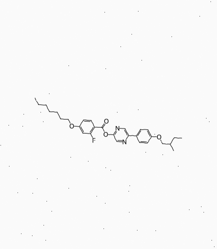 CCCCCCCOc1ccc(C(=O)Oc2cnc(-c3ccc(OCC(C)CC)cc3)cn2)c(F)c1